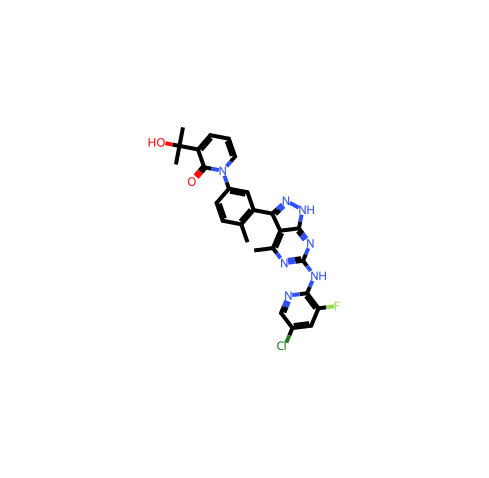 Cc1ccc(-n2cccc(C(C)(C)O)c2=O)cc1-c1n[nH]c2nc(Nc3ncc(Cl)cc3F)nc(C)c12